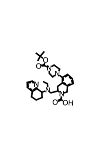 CCN(CC1Cc2c(cccc2N2CCN(C(=O)OC(C)(C)C)CC2)CN1C(=O)O)C1CCCc2cccnc21